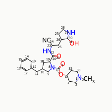 CN1CCC(OC(=O)N2CC(Cc3ccccc3)CC2C(=O)NC(C#N)CC2CCNC2O)CC1